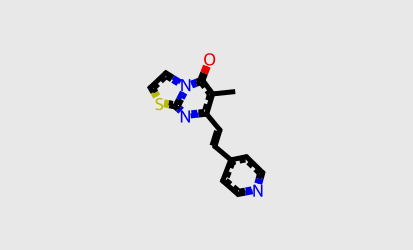 Cc1c(/C=C/c2ccncc2)nc2sccn2c1=O